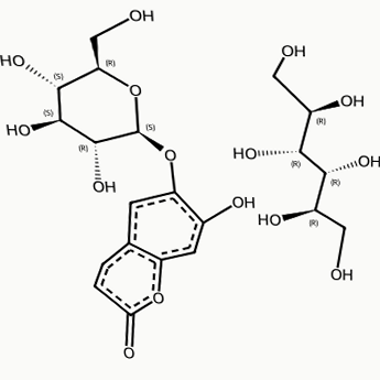 O=c1ccc2cc(O[C@@H]3O[C@H](CO)[C@@H](O)[C@H](O)[C@H]3O)c(O)cc2o1.OC[C@@H](O)[C@@H](O)[C@H](O)[C@H](O)CO